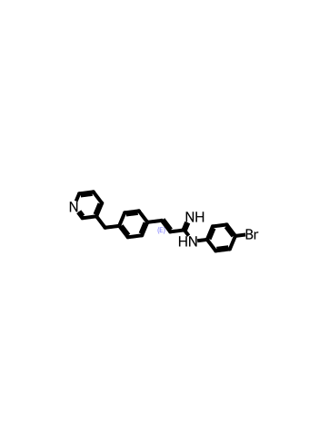 N=C(/C=C/c1ccc(Cc2cccnc2)cc1)Nc1ccc(Br)cc1